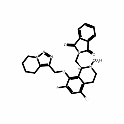 O=C1c2ccccc2C(=O)N1C[C@@H]1c2c(c(Cl)cc(F)c2OCc2nnn3c2CCCC3)CCN1C(=O)O